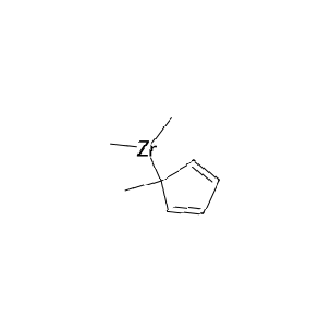 [CH3][Zr]([CH3])[C]1(C)C=CC=C1